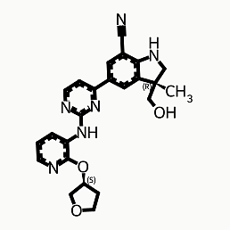 C[C@]1(CO)CNc2c(C#N)cc(-c3ccnc(Nc4cccnc4O[C@H]4CCOC4)n3)cc21